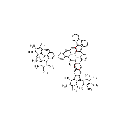 Bc1c(B)c(B)c(-n2c3ccc(-c4ccc5c(c4)Oc4cc(-n6c7ccccc7c7ccccc76)cc6c4B5c4ccc(-c5ccc7c(c5)c5c(B)c(B)c(B)c(B)c5n7-c5c(B)c(B)c(B)c(B)c5B)cc4N6c4c(-c5ccccc5)cccc4-c4ccccc4)cc3c3c(B)c(B)c(B)c(B)c32)c(B)c1B